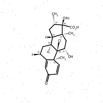 CC(=O)O[C@]1(C(=O)O)[C@@H](C)C[C@H]2[C@@H]3C[C@H](F)C4=CC(=O)C=C[C@]4(C)[C@@]3(Cl)[C@@H](O)C[C@@]21C